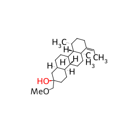 C/C=C1/CC[C@@H](C)[C@H]2[C@@H]3CC[C@@H]4C[C@@](O)(COC)CC[C@@H]4[C@H]3CC[C@]12C